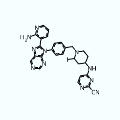 N#Cc1nccc(NC2CCN(Cc3ccc(-n4c(-c5cccnc5N)nc5cncnc54)cc3)C(I)C2)n1